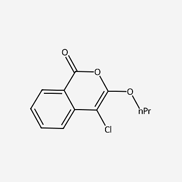 CCCOc1oc(=O)c2ccccc2c1Cl